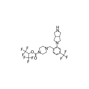 O=C(OC(C(F)(F)F)C(F)(F)F)N1CCN(Cc2ccc(C(F)(F)F)cc2N2CC3CNCC3C2)CC1